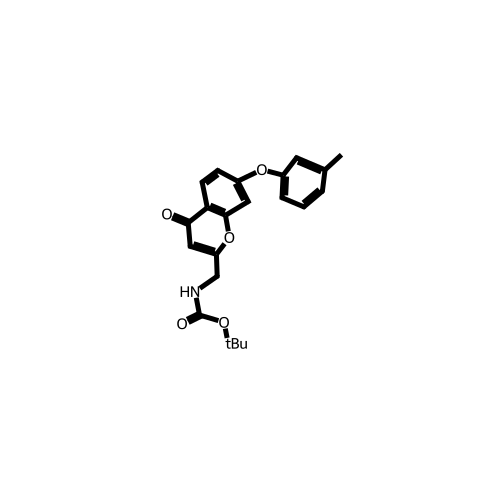 Cc1cccc(Oc2ccc3c(=O)cc(CNC(=O)OC(C)(C)C)oc3c2)c1